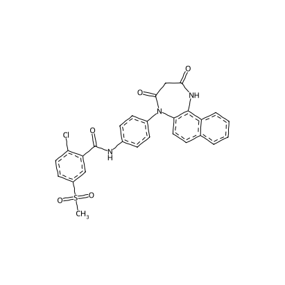 CS(=O)(=O)c1ccc(Cl)c(C(=O)Nc2ccc(N3C(=O)CC(=O)Nc4c3ccc3ccccc43)cc2)c1